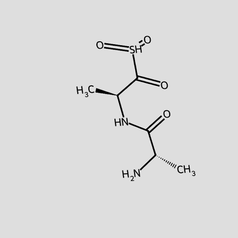 C[C@H](N)C(=O)N[C@@H](C)C(=O)[SH](=O)=O